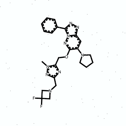 Cn1nc(CN2CC(F)(F)C2)nc1COc1nn2c(-c3ccccc3)nnc2cc1N1CCCC1